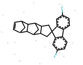 Fc1ccc2c(c1)C1(CC3C(C1)C1CC3C3C4C=CC(C4)C13)c1cc(F)ccc1-2